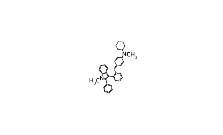 Cn1c(-c2ccccc2)c(-c2ccccc2C=C2C=CC(=[N+](C)C3CCCCC3)C=C2)c2ccccc21